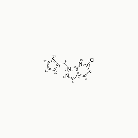 Clc1ccc2cnn(Cc3cccs3)c2n1